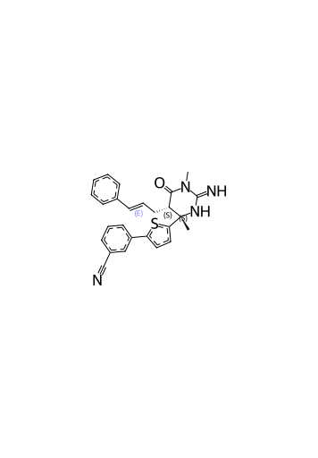 CN1C(=N)N[C@](C)(c2ccc(-c3cccc(C#N)c3)s2)[C@H](C/C=C/c2ccccc2)C1=O